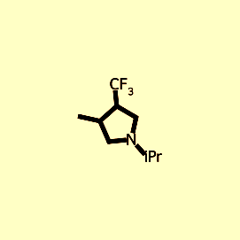 CC1CN(C(C)C)CC1C(F)(F)F